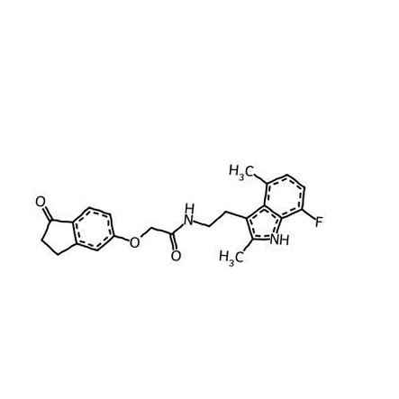 Cc1[nH]c2c(F)ccc(C)c2c1CCNC(=O)COc1ccc2c(c1)CCC2=O